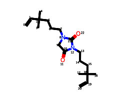 C=CC(C)(C)CCCN1CC(=O)N(CCCC(C)(C)C=C)C1=O